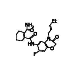 CCC=CCN1C(=O)COc2cc(F)c(NC(=O)C3=C(C(N)=O)CCCC3)cc21